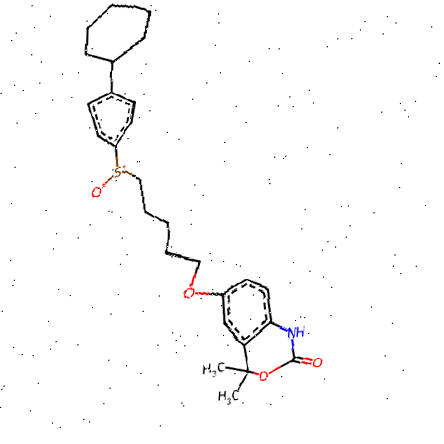 CC1(C)OC(=O)Nc2ccc(OCCCCC[S+]([O-])c3ccc(C4CCCCC4)cc3)cc21